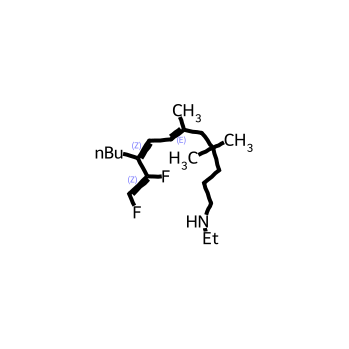 CCCCC(=C/C=C(\C)CC(C)(C)CCCNCC)/C(F)=C/F